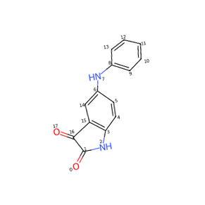 O=C1Nc2ccc(Nc3ccccc3)cc2C1=O